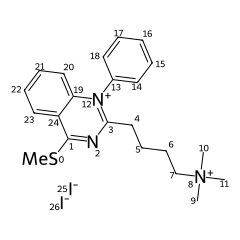 CSc1nc(CCCC[N+](C)(C)C)[n+](-c2ccccc2)c2ccccc12.[I-].[I-]